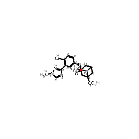 CC1CC2CC(C(=O)O)(C1)N2C(=O)Nc1ccc(Cl)c(-c2ncn(C)n2)c1